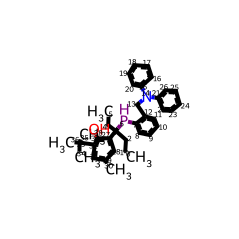 CCCC(CC)(Pc1ccccc1CN(c1ccccc1)c1ccccc1)c1cc(C)cc(C(C)(C)C)c1O